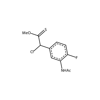 COC(=S)C(Cl)c1ccc(F)c(NC(C)=O)c1